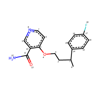 CC(CCOc1ccncc1C(N)=O)c1ccc(F)cc1